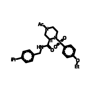 CCOc1ccc(S(=O)(=O)N2CCN(C(C)=O)C[C@@H]2C(=O)NCc2ccc(C(C)C)cc2)cc1